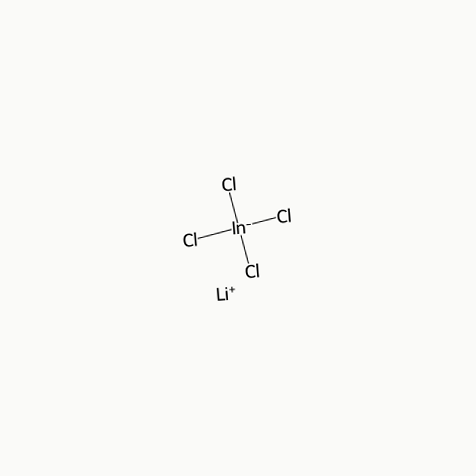 [Cl][In-]([Cl])([Cl])[Cl].[Li+]